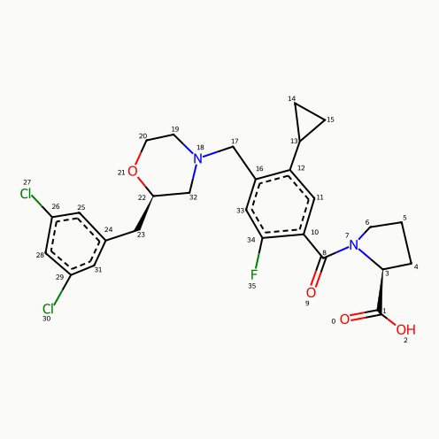 O=C(O)[C@@H]1CCCN1C(=O)c1cc(C2CC2)c(CN2CCO[C@H](Cc3cc(Cl)cc(Cl)c3)C2)cc1F